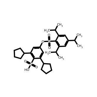 CC(C)c1cc(C(C)C)c(S(=O)(=O)Oc2cc(C3CCCC3)c(S(=O)(=O)O)c(C3CCCC3)c2)c(C(C)C)c1